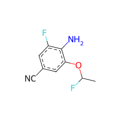 CC(F)Oc1cc(C#N)cc(F)c1N